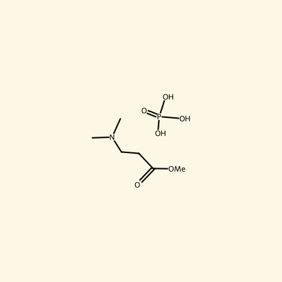 COC(=O)CCN(C)C.O=P(O)(O)O